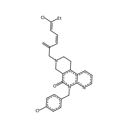 C=C(/C=C\C=C(\Cl)CC)CN1CCc2c(c(=O)n(Cc3ccc(Cl)cc3)c3ncccc23)C1